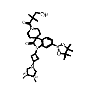 C[C@@H]1CN(C2CC(N3C(=O)C4(CCN(C(=O)C(C)(C)CO)CC4)c4ccc(B5OC(C)(C)C(C)(C)O5)cc43)C2)C[C@@H]1C